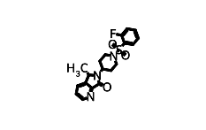 CC1c2cccnc2C(=O)N1C1CCN(S(=O)(=O)c2ccccc2F)CC1